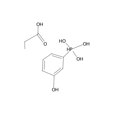 CCC(=O)O.Oc1cccc([PH](O)(O)O)c1